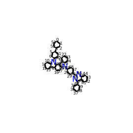 c1ccc(-c2ccc(-n3c4ccccc4c4ccc5c(c6ccccc6n5-c5ccc(-c6nc(-c7ccccc7)c7ccccc7n6)cc5)c43)cc2)cc1